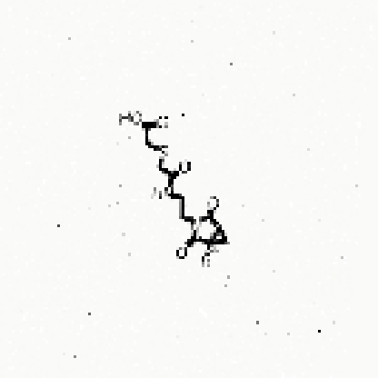 O=C(O)CSCC(=O)NCCN1C(=O)C2C[C@@H]2C1=O